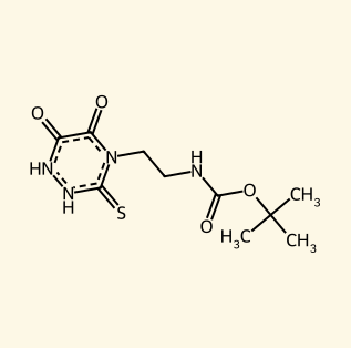 CC(C)(C)OC(=O)NCCn1c(=S)[nH][nH]c(=O)c1=O